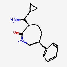 NC(C1CC1)[C@H]1CC[C@@H](c2ccccc2)CNC1=O